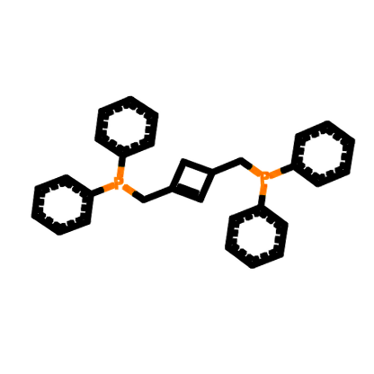 C1=C(CP(c2ccccc2)c2ccccc2)CC1CP(c1ccccc1)c1ccccc1